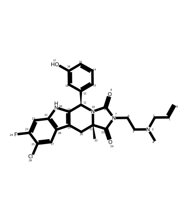 C=CCN(C)CCN1C(=O)N2[C@H](c3cccc(O)c3)c3[nH]c4cc(F)c(Cl)cc4c3C[C@@]2(C)C1=O